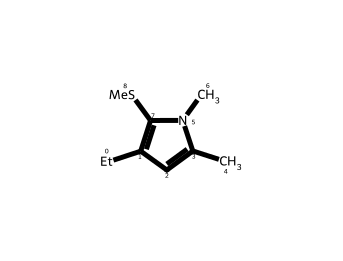 CCc1cc(C)n(C)c1SC